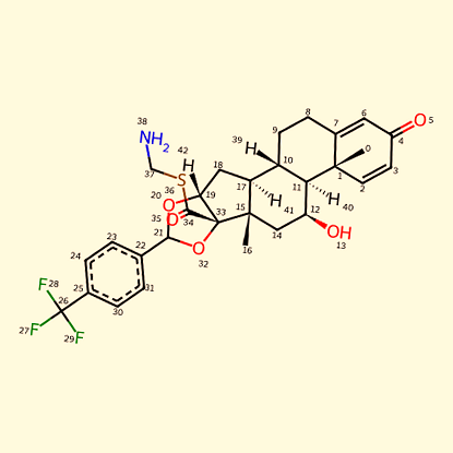 C[C@]12C=CC(=O)C=C1CC[C@@H]1[C@@H]2[C@@H](O)C[C@@]2(C)[C@H]1C[C@H]1OC(c3ccc(C(F)(F)F)cc3)O[C@]12C(=O)SCN